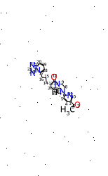 CC(=O)c1ccc(N2CCN3C(=O)[C@@H](CCCc4cccc5ncnn45)C[C@H]3C2)nc1